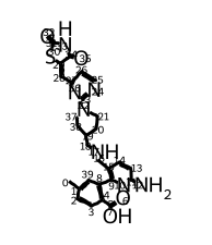 Cc1ccc(C(=O)O)c(-c2nc(N)ccc2CNCC2CCN(c3nccc(C=C4SC(=O)NC4=O)n3)CC2)c1